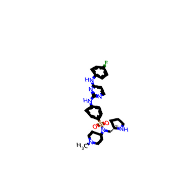 CN1CCC(N(C[C@@H]2CCCN2)S(=O)(=O)c2ccc(Nc3nccc(Nc4ccc(F)cc4)n3)cc2)CC1